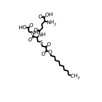 CCCCCCCCCCOC(=O)C(=O)CSCC(NC(=O)CCC(N)C(=O)O)C(=O)NCC(=O)O